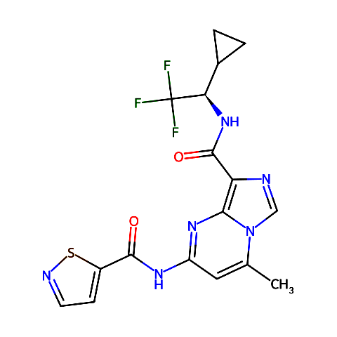 Cc1cc(NC(=O)c2ccns2)nc2c(C(=O)N[C@H](C3CC3)C(F)(F)F)ncn12